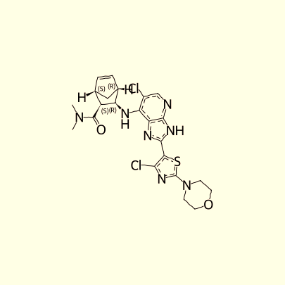 CN(C)C(=O)[C@@H]1[C@H](Nc2c(Cl)cnc3[nH]c(-c4sc(N5CCOCC5)nc4Cl)nc23)[C@H]2C=C[C@@H]1C2